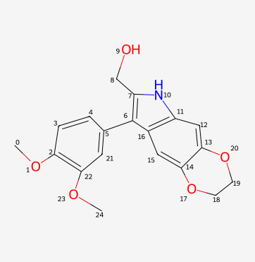 COc1ccc(-c2c(CO)[nH]c3cc4c(cc23)OCCO4)cc1OC